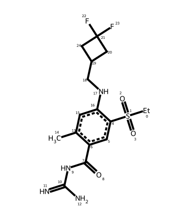 CCS(=O)(=O)c1cc(C(=O)NC(=N)N)c(C)cc1NCC1CC(F)(F)C1